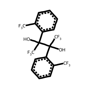 OC(c1ccccc1C(F)(F)F)(C(F)(F)F)C(O)(c1ccccc1C(F)(F)F)C(F)(F)F